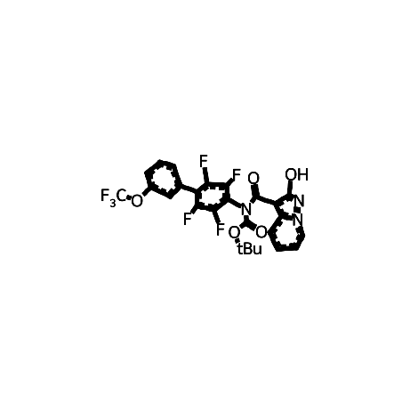 CC(C)(C)OC(=O)N(C(=O)c1c(O)nn2ccccc12)c1c(F)c(F)c(-c2cccc(OC(F)(F)F)c2)c(F)c1F